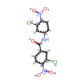 O=C(Nc1ccc([N+](=O)[O-])c(Cl)c1)c1ccc([N+](=O)[O-])c(Cl)c1